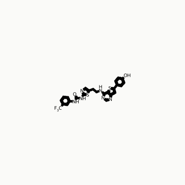 O=C(Nc1cccc(C(F)(F)F)c1)Nc1ncc(CCNc2ncnc3cc(-c4ccc(O)cc4)sc23)s1